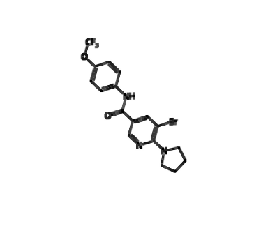 O=C(Nc1ccc(OC(F)(F)F)cc1)c1cnc(N2CCCC2)c(Br)c1